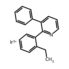 CCc1ccccc1-c1ncccc1-c1ccccc1.[Ir+3]